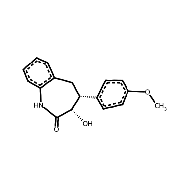 COc1ccc([C@H]2Cc3ccccc3NC(=O)[C@H]2O)cc1